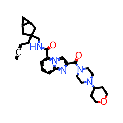 C=C=CCC1(CNC(=O)c2cccc3nc(C(=O)N4CCN(C5CCOCC5)CC4)cn23)CC2CC2C1